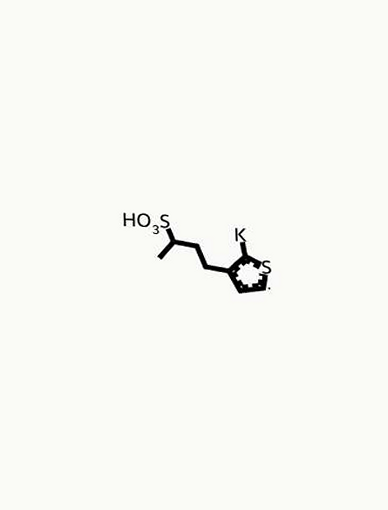 CC(CCc1c[c]s[c]1[K])S(=O)(=O)O